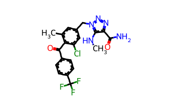 CNc1c(C(N)=O)nnn1Cc1cc(C)c(C(=O)c2ccc(C(F)(F)F)cc2)c(Cl)c1